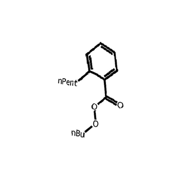 CCCCCc1ccccc1C(=O)OOCCCC